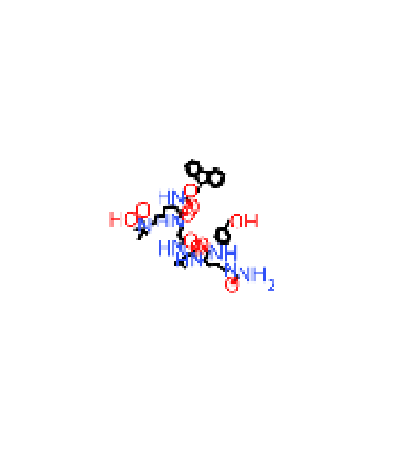 CC(C)C(NC(=O)CCNC(=O)C(CCCCN(C(=O)O)C(C)(C)C)NC(=O)OCC1c2ccccc2-c2ccccc21)C(=O)NC(CCCNC(N)=O)C(=O)Nc1ccc(CO)cc1